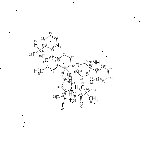 CCC[C@H]1N(C(=O)c2ncccc2C(F)(F)F)CCC[C@@]1(Oc1csc(C(F)(F)F)c1)C(=O)N1CCC(N)(c2ccccc2OCC(C)(C)C(=O)O)CC1